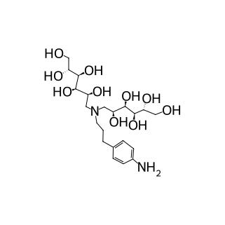 Nc1ccc(CCCN(C[C@H](O)[C@@H](O)[C@H](O)[C@H](O)CO)C[C@H](O)[C@@H](O)[C@H](O)[C@H](O)CO)cc1